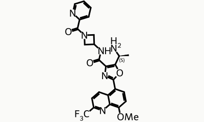 COc1ccc(-c2nc(C(=O)NC3CN(C(=O)c4ccccn4)C3)c([C@H](C)N)o2)c2ccc(C(F)(F)F)nc12